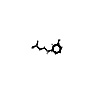 Cc1cccc(OCCP(C)C)c1